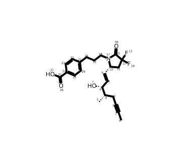 CC#CC[C@H](C)[C@H](O)/C=C/[C@H]1CC(F)(F)C(=O)N1CCCc1ccc(C(=O)O)cc1